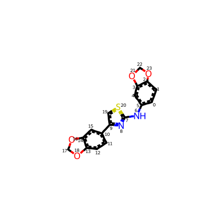 c1cc2c(cc1Nc1nc(-c3ccc4c(c3)OCO4)cs1)OCO2